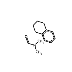 CN(C)C=O.c1ccc2c(c1)CCCC2